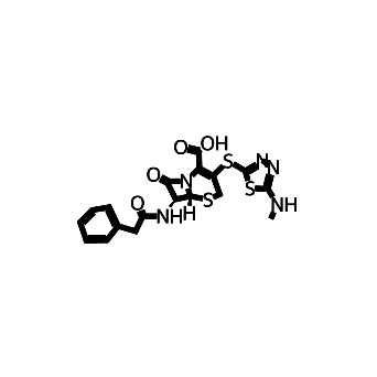 CNc1nnc(SC2=C(C(=O)O)N3C(=O)[C@@H](NC(=O)Cc4ccccc4)[C@H]3SC2)s1